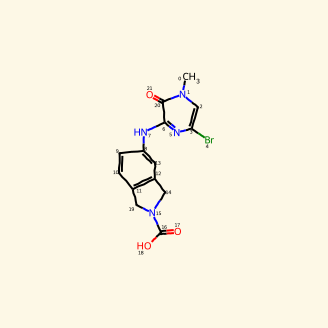 Cn1cc(Br)nc(Nc2ccc3c(c2)CN(C(=O)O)C3)c1=O